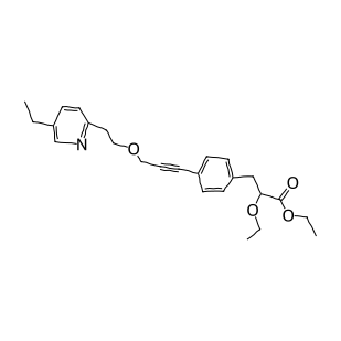 CCOC(=O)C(Cc1ccc(C#CCOCCc2ccc(CC)cn2)cc1)OCC